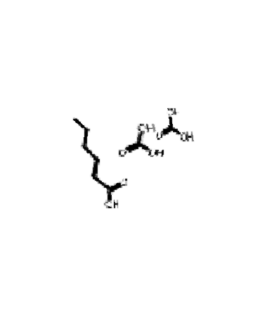 CCCCCC(=O)O.O=C(O)O.O=C(O)O